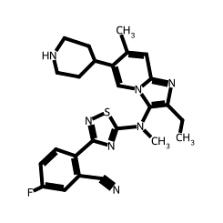 CCc1nc2cc(C)c(C3CCNCC3)cn2c1N(C)c1nc(-c2ccc(F)cc2C#N)ns1